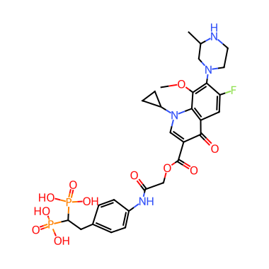 COc1c(N2CCNC(C)C2)c(F)cc2c(=O)c(C(=O)OCC(=O)Nc3ccc(CC(P(=O)(O)O)P(=O)(O)O)cc3)cn(C3CC3)c12